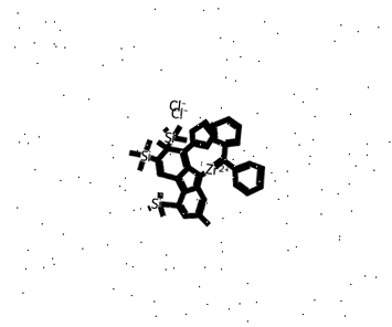 Cc1cc([Si](C)(C)C)c2c(c1)=[C]([Zr+2]=[C](c1ccccc1)c1ccccc1)C1=C(C3=CC=CC3)C(C)([Si](C)(C)C)C([Si](C)(C)C)=CC=21.[Cl-].[Cl-]